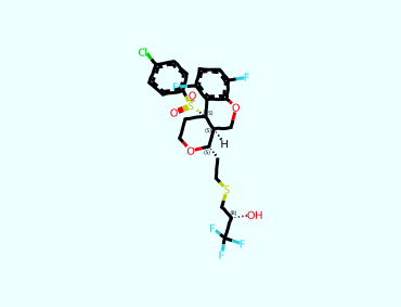 O=S(=O)(c1ccc(Cl)cc1)[C@@]12CCO[C@@H](CCSC[C@H](O)C(F)(F)F)[C@@H]1COc1c(F)ccc(F)c12